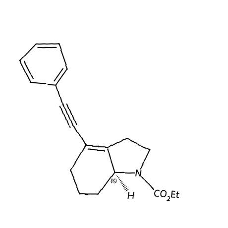 CCOC(=O)N1CCC2=C(C#Cc3ccccc3)CCC[C@@H]21